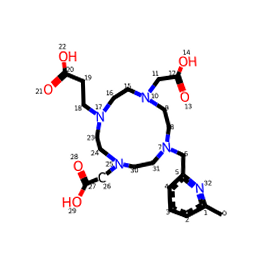 Cc1cccc(CN2CCN(CC(=O)O)CCN(CCC(=O)O)CCN(CC(=O)O)CC2)n1